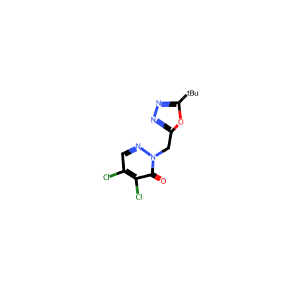 CC(C)(C)c1nnc(Cn2ncc(Cl)c(Cl)c2=O)o1